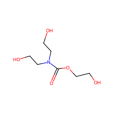 O=C(OCCO)N(CCO)CCO